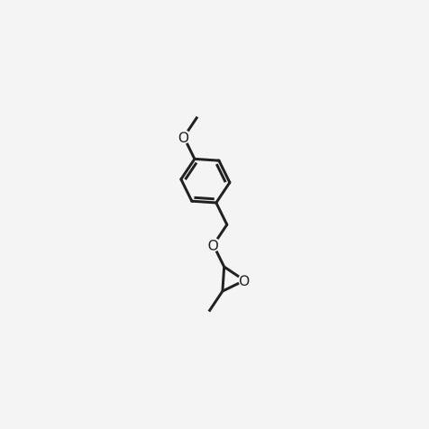 COc1ccc(COC2OC2C)cc1